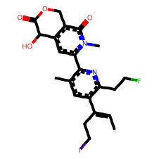 C/C=C(\CCI)c1cc(C)c(-c2cc3c(c(=O)n2C)COC(=O)C3O)nc1CCF